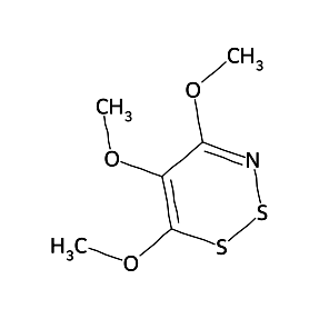 COC1=NSSC(OC)=C1OC